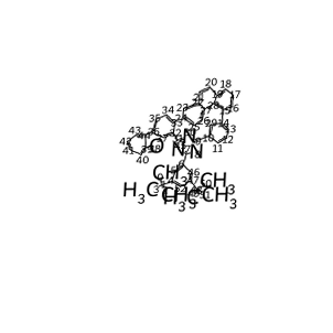 CC(C)(C)c1cc(-c2nc(-c3cccc(-c4cccc5ccc6ccccc6c45)c3)nc(-c3cccc4c3oc3ccccc34)n2)cc(C(C)(C)C)c1